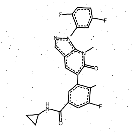 Cc1c(F)cc(C(=O)NC2CC2)cc1-c1cc2cnn(-c3cc(F)ccc3F)c2n(C)c1=O